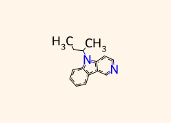 CCC(C)n1c2ccccc2c2cnccc21